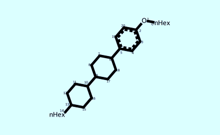 CCCCCCOc1ccc(C2CCC(C3CCC(CCCCCC)CC3)CC2)cc1